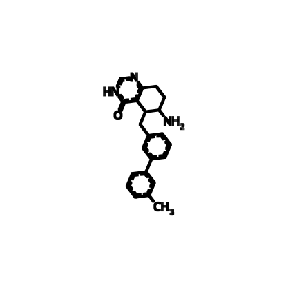 Cc1cccc(-c2cccc(CC3c4c(nc[nH]c4=O)CCC3N)c2)c1